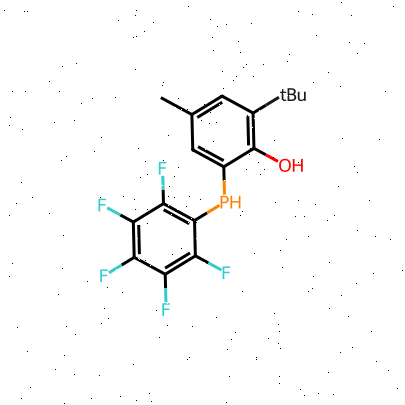 Cc1cc(Pc2c(F)c(F)c(F)c(F)c2F)c(O)c(C(C)(C)C)c1